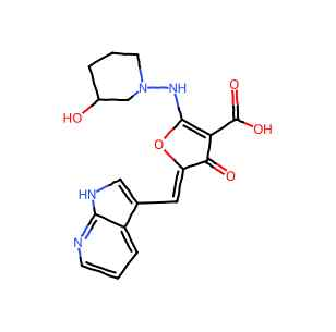 O=C(O)C1=C(NN2CCCC(O)C2)OC(=Cc2c[nH]c3ncccc23)C1=O